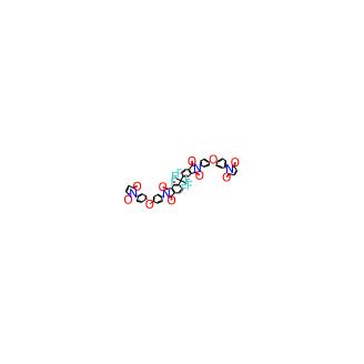 O=C1C=CC(=O)N1c1ccc(Oc2ccc(N3C(=O)c4ccc(C(c5ccc6c(c5)C(=O)N(c5ccc(Oc7ccc(N8C(=O)C=CC8=O)cc7)cc5)C6=O)(C(F)(F)F)C(F)(F)F)cc4C3=O)cc2)cc1